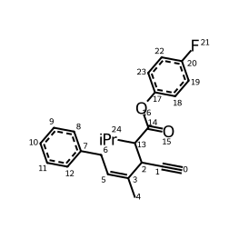 C#CC(C(C)=CCc1ccccc1)C(C(=O)Oc1ccc(F)cc1)C(C)C